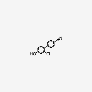 N#Cc1ccc(-c2ccc(O)cc2Cl)cc1